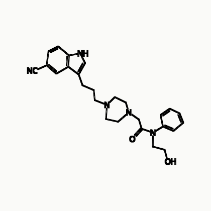 N#Cc1ccc2[nH]cc(CCCN3CCN(CC(=O)N(CCO)c4ccccc4)CC3)c2c1